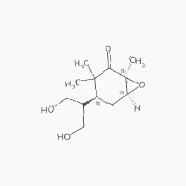 CC1(C)C(=O)[C@@]2(C)O[C@H]2C[C@H]1C(CO)CO